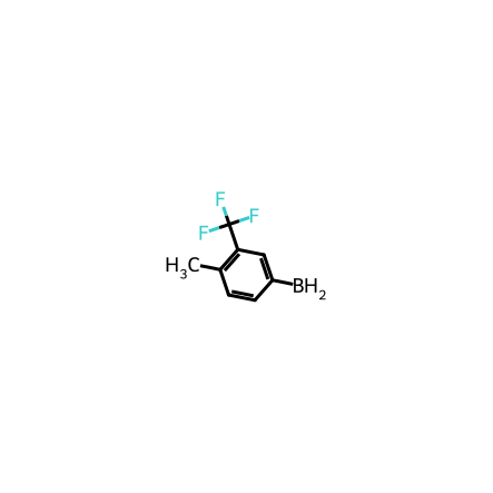 Bc1ccc(C)c(C(F)(F)F)c1